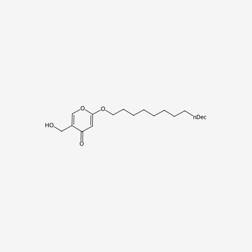 CCCCCCCCCCCCCCCCCCOc1cc(=O)c(CO)co1